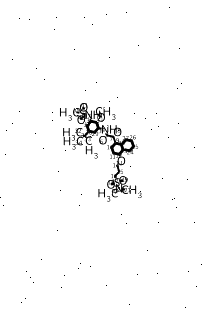 COc1c(NC(=O)C(=O)c2ccc(OCCCS(=O)(=O)N(C)C)c3ccccc23)cc(C(C)(C)C)cc1NS(C)(=O)=O